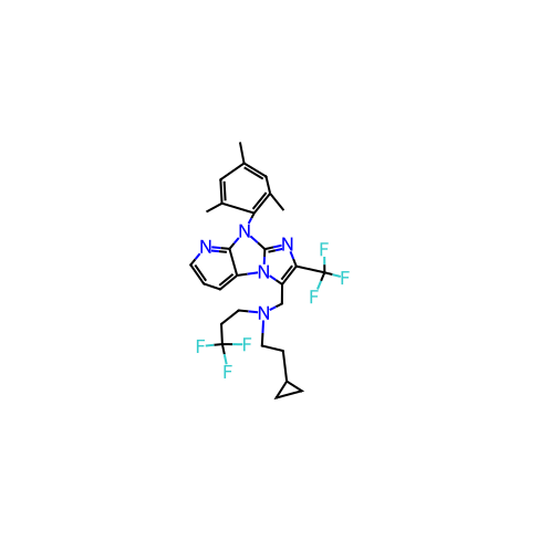 Cc1cc(C)c(-n2c3ncccc3n3c(CN(CCC4CC4)CCC(F)(F)F)c(C(F)(F)F)nc23)c(C)c1